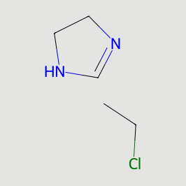 C1=NCCN1.CCCl